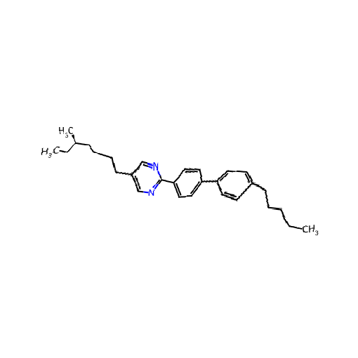 CCCCCc1ccc(-c2ccc(-c3ncc(CCCC[C@H](C)CC)cn3)cc2)cc1